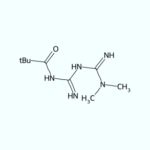 CN(C)C(=N)NC(=N)NC(=O)C(C)(C)C